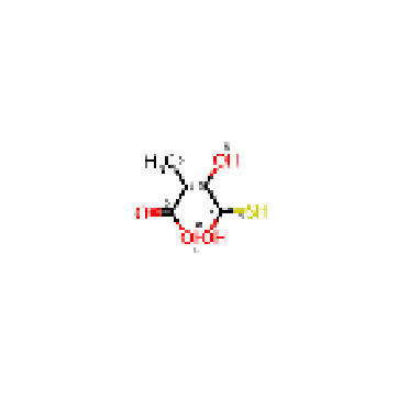 CCC(=O)O.OCC(O)S